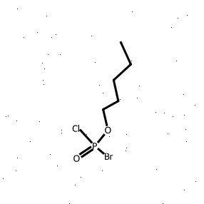 CCCCCOP(=O)(Cl)Br